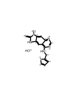 CCn1c(=S)[nH]c2cc3c(NCc4cccs4)ncnc3cc21.Cl